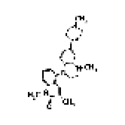 Cc1cc2c(N3CCN(C)c4cc(C5=CCN(C)CC5)ccc43)cccc2n(C)c1=O